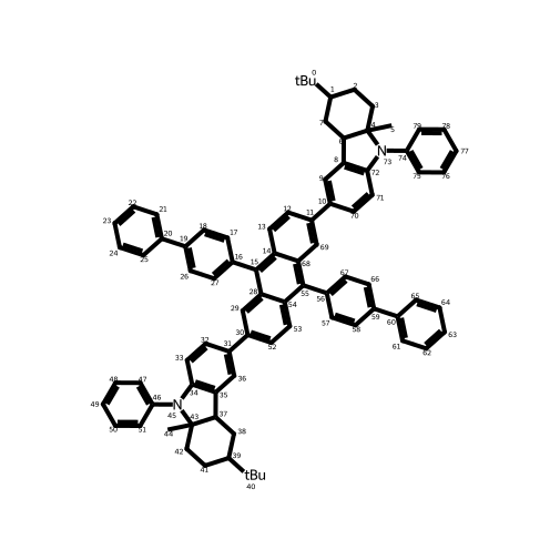 CC(C)(C)C1CCC2(C)C(C1)c1cc(-c3ccc4c(-c5ccc(-c6ccccc6)cc5)c5cc(-c6ccc7c(c6)C6CC(C(C)(C)C)CCC6(C)N7c6ccccc6)ccc5c(-c5ccc(-c6ccccc6)cc5)c4c3)ccc1N2c1ccccc1